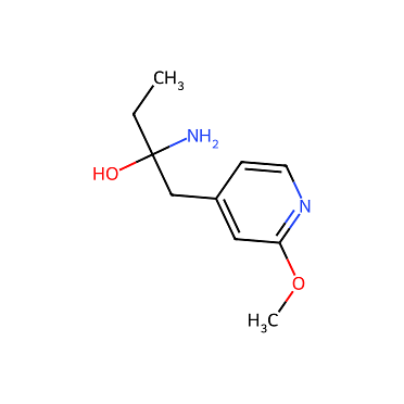 CCC(N)(O)Cc1ccnc(OC)c1